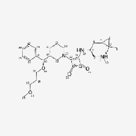 CNC[C@H](CC1CC1(C)C)Nc1c(N2CCC[C@@H]([C@@H](OCCCOC)c3ccccc3)C2)c(=O)c1=O